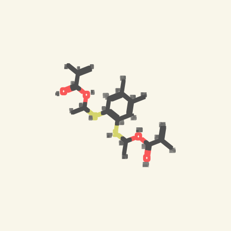 C=C(C)C(=O)OC(C)Sc1[c]c(C)c(C)[c]c1SC(C)OC(=O)C(=C)C